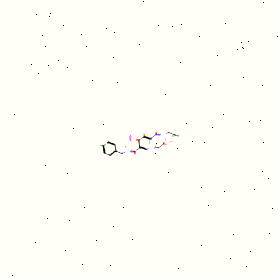 O=C(NCc1ccc(F)cc1)c1cn2c(c(O)c1=O)C(=O)N(CC(F)(F)F)C(O)C2